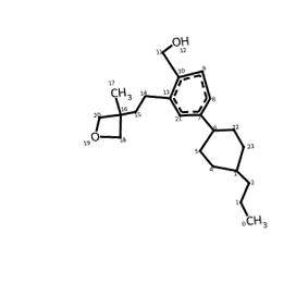 CCCC1CCC(c2ccc(CO)c(CCC3(C)COC3)c2)CC1